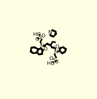 CCC(=Cc1oc2ccc3ccccc3c2[n+]1CCS(=O)(=O)O)C=C1Oc2ccccc2N1CCS(=O)(=O)O.c1ccncc1